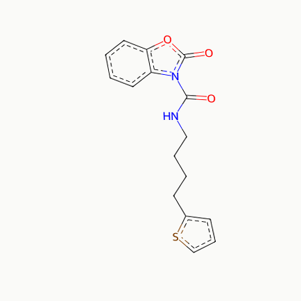 O=C(NCCCCc1cccs1)n1c(=O)oc2ccccc21